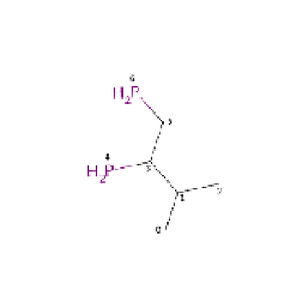 CC(C)C(P)CP